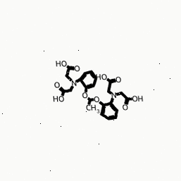 CC(Oc1ccccc1N(CC(=O)O)CC(=O)O)Oc1ccccc1N(CC(=O)O)CC(=O)O